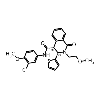 COCCN1C(=O)c2ccccc2[C@@H](C(=O)Nc2ccc(OC)c(Cl)c2)[C@@H]1c1cccs1